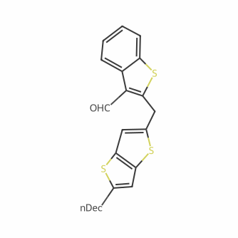 CCCCCCCCCCc1cc2sc(Cc3sc4ccccc4c3C=O)cc2s1